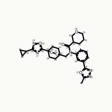 Cc1nnc(-c2cccc(N(CC34CCC(c5nc(C6CC6)no5)(CC3)CC4)C(=O)C3CCCOC3)c2)o1